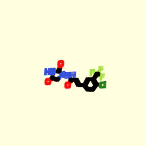 O=C(C=Cc1ccc(Cl)c(C(F)(F)F)c1)NN1CC(=O)NC1=O